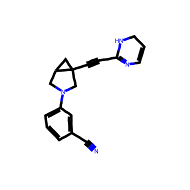 N#Cc1cccc(N2CC3CC3(C#CC3=NC=CCN3)C2)c1